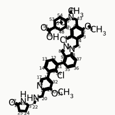 COc1cc(Cn2ncc3c(-c4cccc(-c5cnc(CNC[C@@H]6CCC(=O)N6)c(OC)c5)c4Cl)cccc32)c(Cl)cc1CN(C)C12CCC(C(=O)O)(CC1)CC2